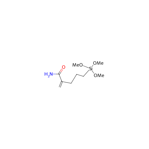 C=C(CCC[Si](OC)(OC)OC)C(N)=O